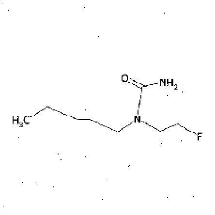 CCCCCN(CCF)C(N)=O